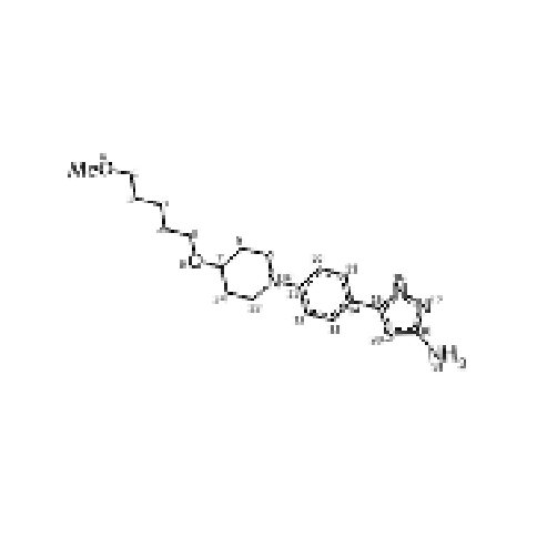 COCCCCCOC1CCN(c2ccc(-c3nnc(N)s3)cc2)CC1